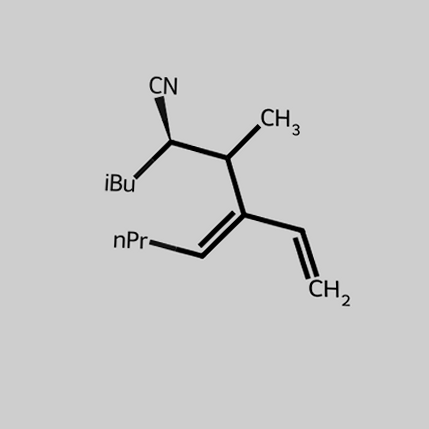 C=C/C(=C/CCC)C(C)[C@H](C#N)C(C)CC